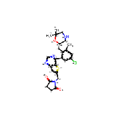 Cc1cc(Cl)cc(-c2ncnc3cc(CN4C(=O)CCC4=O)sc23)c1C[C@H]1CNCC(C)(C)O1